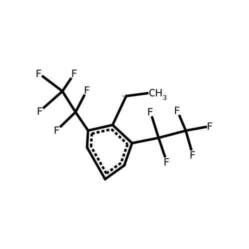 C[CH]c1c(C(F)(F)C(F)(F)F)cccc1C(F)(F)C(F)(F)F